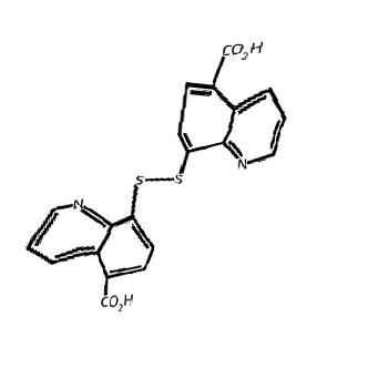 O=C(O)c1ccc(SSc2ccc(C(=O)O)c3cccnc23)c2ncccc12